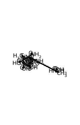 C=C(N[C@@H](CCC(N)=O)C(=O)C(=O)C(CCCCNC(=O)CCCCCCCCCCCCCCC(=O)NC(CC(C)C)C(=O)O)NN[C@H](C=O)CO)[C@H](CCSC)NC(=O)[C@H](CCC(=O)O)NC(=O)[C@H](CCC(=O)O)NC(=O)[C@@H](N)CCC(=O)O